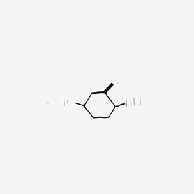 BC1CCC(C=O)CC1=O